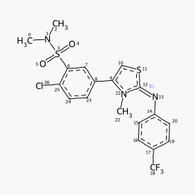 CN(C)S(=O)(=O)c1cc(-c2cs/c(=N/c3ccc(C(F)(F)F)cc3)n2C)ccc1Cl